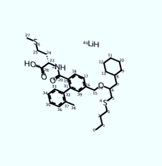 CCCCSCC(CC1CCCCC1)OCc1ccc(C(=O)N[C@@H](CCSC)C(=O)O)c(-c2ccccc2C)c1.[LiH]